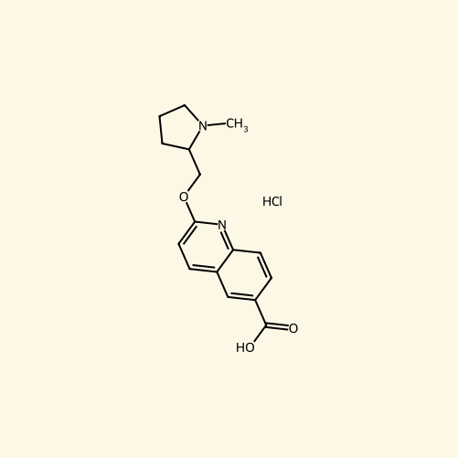 CN1CCCC1COc1ccc2cc(C(=O)O)ccc2n1.Cl